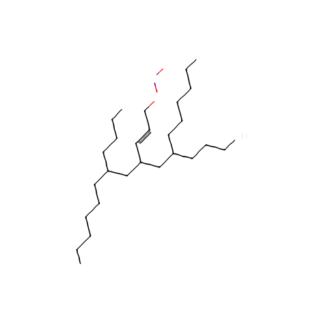 CCCCCCC(CCCC)CC(C=CCOPO)CC(CCCC)CCCCCC